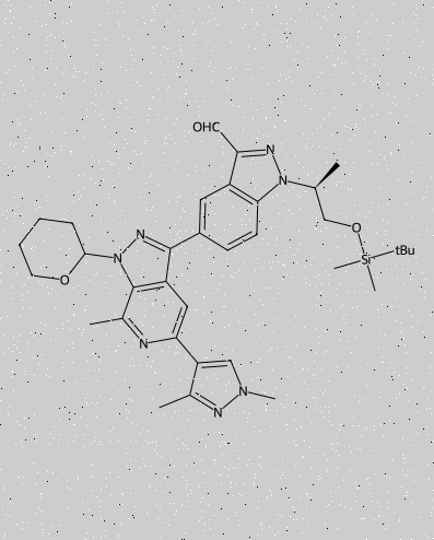 Cc1nn(C)cc1-c1cc2c(-c3ccc4c(c3)c(C=O)nn4[C@@H](C)CO[Si](C)(C)C(C)(C)C)nn(C3CCCCO3)c2c(C)n1